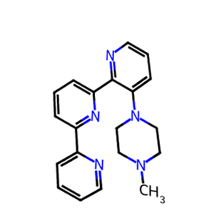 CN1CCN(c2cccnc2-c2cccc(-c3ccccn3)n2)CC1